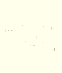 COC(=O)CC[C@@H](C)[C@H]1CCC2C3CC[C@@H]4C[C@H](O)CC[C@]4(C)C3=CC(OOC(C)(C)C)[C@@]21C